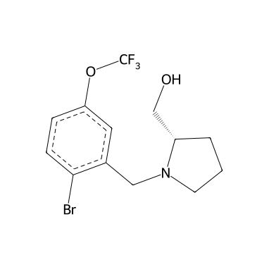 OC[C@@H]1CCCN1Cc1cc(OC(F)(F)F)ccc1Br